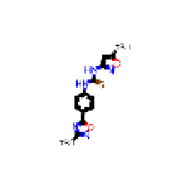 CC(C)(C)c1noc(-c2ccc(NC(=S)Nc3cc(C(C)(C)C)on3)cc2)n1